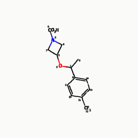 CC(OC1CN(C(=O)O)C1)c1ccc(C(F)(F)F)cc1